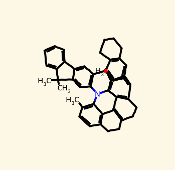 Cc1ccc2c(c1N(c1cc3c(cc1-c1cccc4c1CCCC4)-c1ccccc1C3(C)C)c1c(C)ccc3c1CCCC3)CCCC2